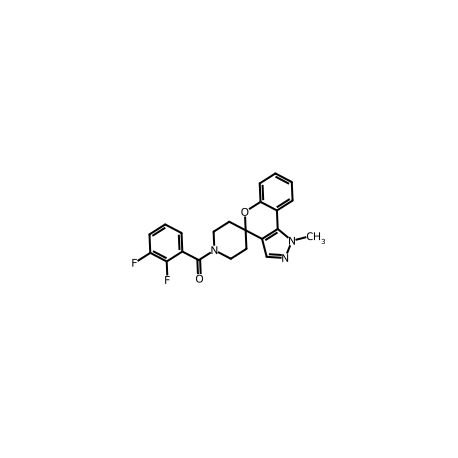 Cn1ncc2c1-c1ccccc1OC21CCN(C(=O)c2cccc(F)c2F)CC1